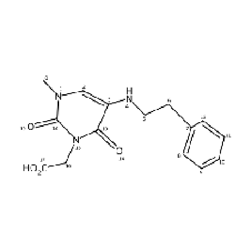 Cn1cc(NCCc2ccccc2)c(=O)n(CC(=O)O)c1=O